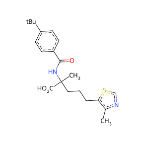 Cc1ncsc1CCCC(C)(NC(=O)c1ccc(C(C)(C)C)cc1)C(=O)O